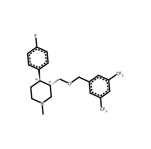 CN1CC[C@@H](c2ccc(F)cc2)[C@H](COCc2cc(C(F)(F)F)cc(C(F)(F)F)c2)C1